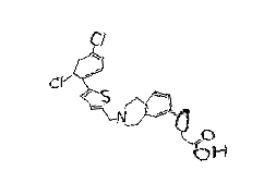 O=C(O)COc1ccc2c(c1)CCN(Cc1ccc(C3=CC=C(Cl)C[C@@H]3Cl)s1)CC2